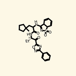 CC[C@H](NC(=O)C(CC1(C)CCCC1)NC1=NS(=O)(=O)C2C=CC=CC12)C(=O)c1nc(-c2ccccc2)no1